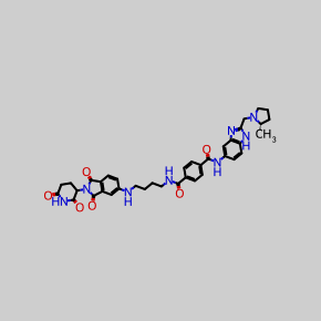 C[C@H]1CCCN1Cc1nc2cc(NC(=O)c3ccc(C(=O)NCCCCNc4ccc5c(c4)C(=O)N(C4CCC(=O)NC4=O)C5=O)cc3)ccc2[nH]1